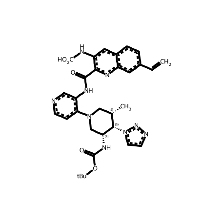 C=Cc1ccc2cc(NC(=O)O)c(C(=O)Nc3cnccc3N3C[C@H](C)[C@H](n4ccnn4)[C@H](NC(=O)OC(C)(C)C)C3)nc2c1